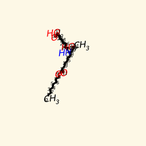 CCCCCCCCCOC(=O)CCCCCCC(C[C@@H](C)O)NCCCCCCCC(=O)O